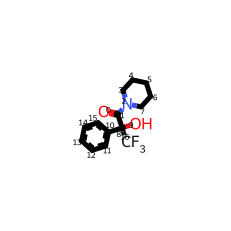 O=C(N1CCCCC1)C(O)(c1ccccc1)C(F)(F)F